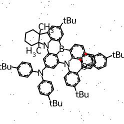 CC(C)(C)c1ccc(N(c2ccc(C(C)(C)C)cc2)c2cc3c4c(c2)N2c5c(cc(C(C)(C)C)cc5C5(C)CCCCC25C)B4c2ccc4c(oc5ccc(C(C)(C)C)cc54)c2N3c2ccc(C(C)(C)C)cc2-c2ccccc2)cc1